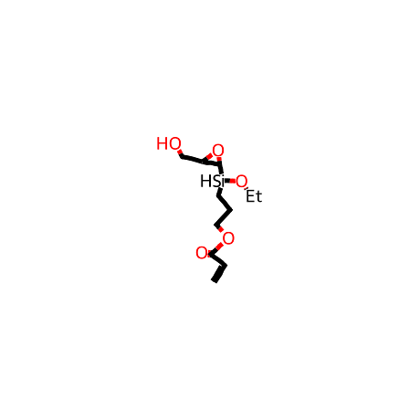 C=CC(=O)OCCC[SiH](OCC)C1OC1CO